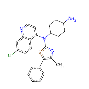 Cc1nc(N(c2ccnc3cc(Cl)ccc23)C2CCC(N)CC2)sc1-c1ccccc1